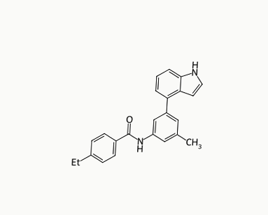 CCc1ccc(C(=O)Nc2cc(C)cc(-c3cccc4[nH]ccc34)c2)cc1